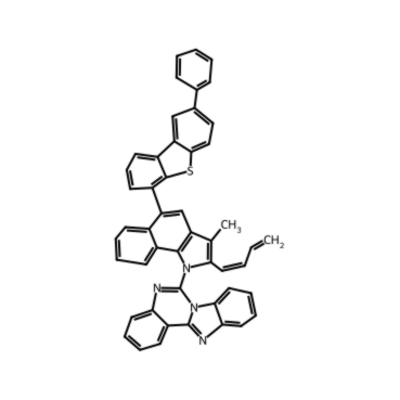 C=C/C=C\c1c(C)c2cc(-c3cccc4c3sc3ccc(-c5ccccc5)cc34)c3ccccc3c2n1-c1nc2ccccc2c2nc3ccccc3n12